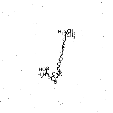 CC(C)(C)CCOCCOCCOCCOCCOCCn1cc(CN2C(=O)CC(SCC(N)C(=O)O)C2=O)nn1